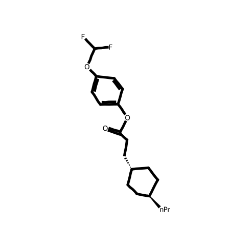 CCC[C@H]1CC[C@H](CCC(=O)Oc2ccc(OC(F)F)cc2)CC1